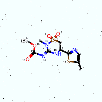 Cc1cnc(C2CS(=O)(=O)N(C)C(=NC(=O)OC(C)(C)C)N2)s1